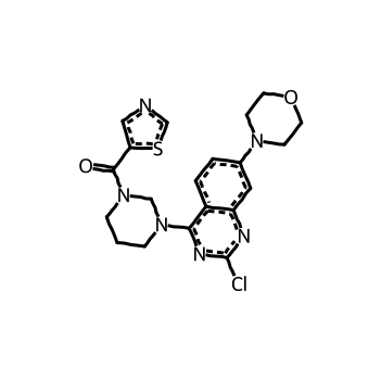 O=C(c1cncs1)N1CCCN(c2nc(Cl)nc3cc(N4CCOCC4)ccc23)C1